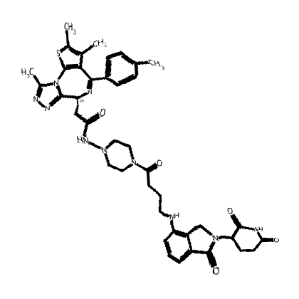 Cc1ccc(C2=N[C@@H](CC(=O)NN3CCN(C(=O)CCCNc4cccc5c4CN(C4CCC(=O)NC4=O)C5=O)CC3)c3nnc(C)n3-c3sc(C)c(C)c32)cc1